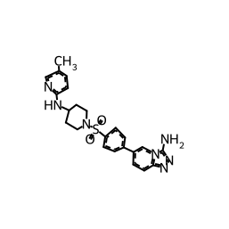 Cc1ccc(NC2CCN(S(=O)(=O)c3ccc(-c4ccc5nnc(N)n5c4)cc3)CC2)nc1